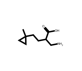 CC1(CCC(CN)C(=O)O)CC1